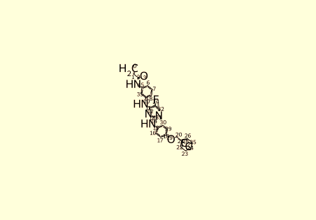 C=CC(=O)Nc1cccc(Nc2nc(Nc3ccc(OCC45CCC(CC4)CC5)cc3)ncc2F)c1